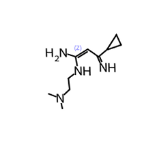 CN(C)CCN/C(N)=C\C(=N)C1CC1